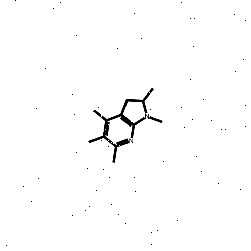 Cc1nc2c(c(C)c1C)CC(C)N2C